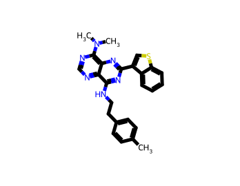 Cc1ccc(CCNc2nc(-c3csc4ccccc34)nc3c(N(C)C)ncnc23)cc1